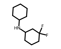 FC1(F)CCCC(NC2CCCCC2)C1